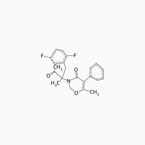 CC(=O)C(C)(Cc1cc(F)ccc1F)N1COC(C)=C(c2ccccc2)C1=O